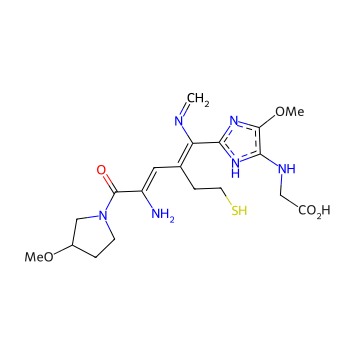 C=N/C(=C(\C=C(/N)C(=O)N1CCC(OC)C1)CCS)c1nc(OC)c(NCC(=O)O)[nH]1